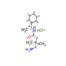 C[C@@H](NC(=O)CC(C)(C)CN)c1ccccc1.Cl